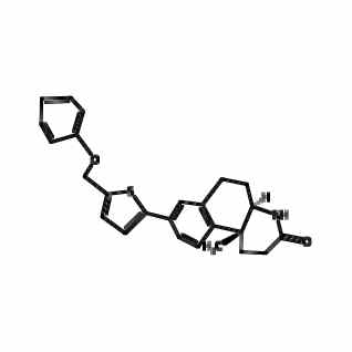 C[C@]12CCC(=O)N[C@@H]1CCc1cc(-c3ccc(COc4ccccc4)s3)ccc12